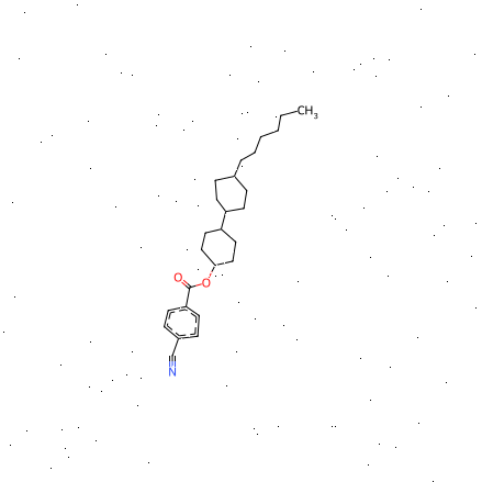 CCCCCCC1CCC(C2CCC(OC(=O)c3ccc(C#N)cc3)CC2)CC1